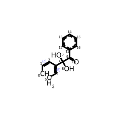 C/C=C\C(=C/C)C(O)(O)C(=O)c1ccccc1